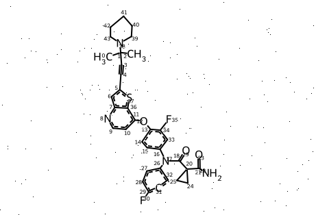 CC(C)(C#Cc1cc2nccc(Oc3ccc(N(C(=O)C4(C(N)=O)CC4)c4ccc(F)cc4)cc3F)c2s1)N1CCCCC1